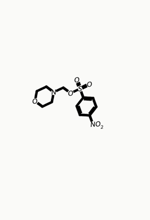 O=[N+]([O-])c1ccc(S(=O)(=O)OCN2CCOCC2)cc1